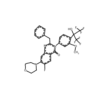 COc1cc(-n2c(Cc3ccccc3)nc3cc(N4CCOCC4)c(F)cc3c2=O)ccc1C(O)(C(F)(F)F)C(F)(F)F